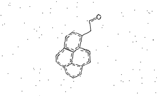 O=[C]Cc1ccc2ccc3cccc4ccc1c2c34